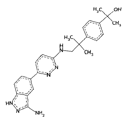 CC(C)(O)c1ccc(C(C)(C)CNc2ccc(-c3ccc4[nH]nc(N)c4c3)nn2)cc1